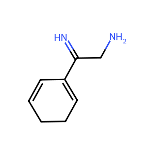 N=C(CN)C1=CCCC=C1